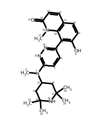 CN(c1ccc(-c2c(O)ccc3ccc(=O)n(C)c23)nn1)C1CC(C)(C)NC(C)(C)C1